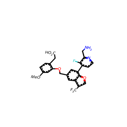 COc1ccc(CC(=O)O)c(OCc2cc(-c3ccnc(CN)c3F)c3occ(C(F)(F)F)c3c2)c1